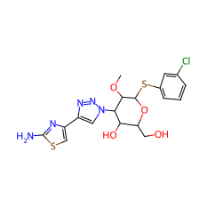 COC1C(Sc2cccc(Cl)c2)OC(CO)C(O)C1n1cc(-c2csc(N)n2)nn1